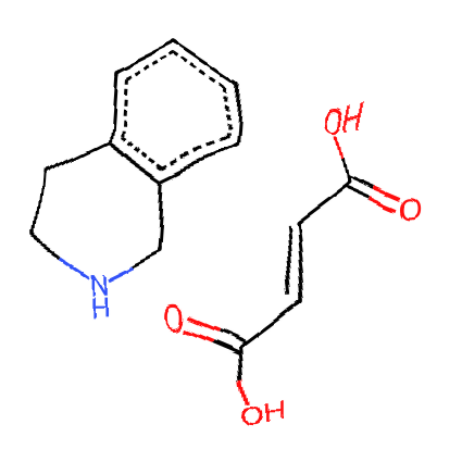 O=C(O)C=CC(=O)O.c1ccc2c(c1)CCNC2